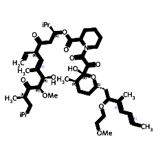 C=C[C@H](/C=C(\C)[C@@H](O)[C@@H](OC)C(=O)[C@H](C)CC(C)C)C(=O)C[C@H](OC(=O)C1CCCCN1C(=O)C(=O)[C@]1(O)O[C@H](CC(OCCOC)/C(C)=C/C=C/C)CC[C@H]1C)C(C)C